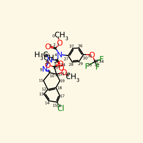 COC(=O)N(C(=O)N(C)/N=C1/Cc2ccc(Cl)cc2CC1(OC)C(=O)OC)c1ccc(OC(F)(F)F)cc1